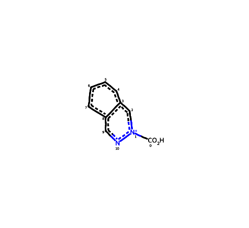 O=C(O)[n+]1cc2ccccc2cn1